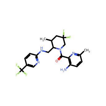 Cc1ccc(N)c(C(=O)N2CC(F)(F)CC(C)C2CNc2ccc(C(F)(F)F)cn2)n1